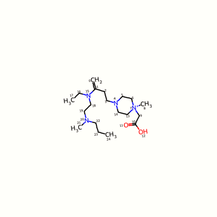 C=C(CCN1CC[N+](C)(CC(=O)O)CC1)N(CC)CCN(C)CCC